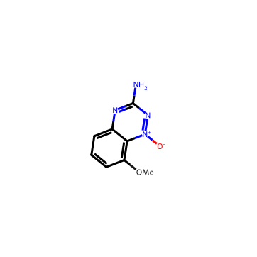 COc1cccc2nc(N)n[n+]([O-])c12